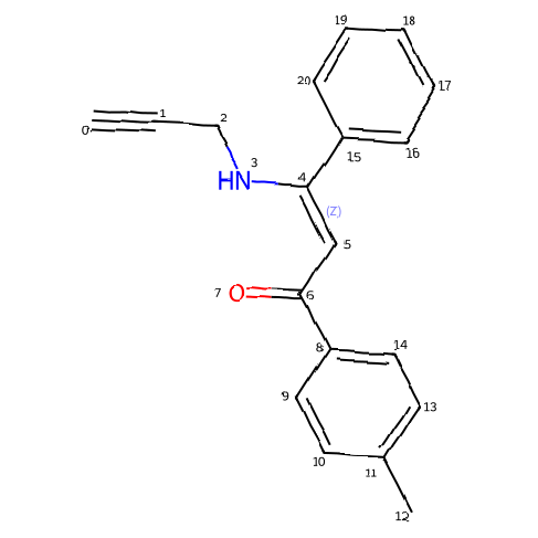 C#CCN/C(=C\C(=O)c1ccc(C)cc1)c1ccccc1